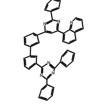 c1ccc(-c2nc(-c3cccc(-c4cccc(-c5nc(-c6ccccc6)nc(-c6ccccc6)n5)c4)c3)cc(-c3cccc4cccnc34)n2)cc1